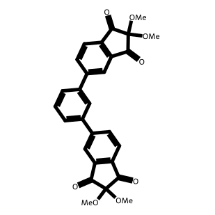 COC1(OC)C(=O)c2ccc(-c3cccc(-c4ccc5c(c4)C(=O)C(OC)(OC)C5=O)c3)cc2C1=O